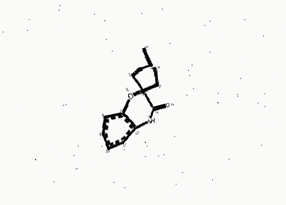 CCCC1(CC)Oc2ccccc2NC1=O